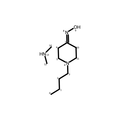 CCCCN1CCC(=NO)CC1.CNC